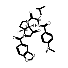 CC(C)C[C@H](NC(=O)c1ccc(N(C)C)cc1)C(=O)N1CC[C@@H]2[C@H]1C(=O)CN2C(=O)c1ccc2c(c1)OCO2